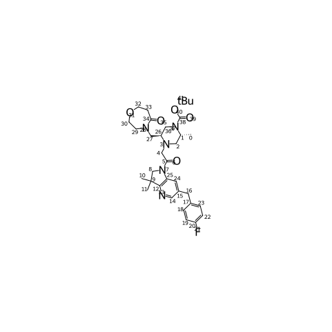 C[C@@H]1CN(CC(=O)N2CC(C)(C)c3ncc(Cc4ccc(F)cc4)cc32)[C@@H](CN2CCOCCC2=O)CN1C(=O)OC(C)(C)C